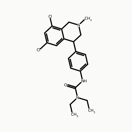 CCN(CC)C(=O)Nc1ccc(C2CN(C)Cc3c(Cl)cc(Cl)cc32)cc1